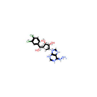 N/N=c1/nc[nH]c2c1ncn2[C@@H]1C[C@H]([C@H](O)c2ccc(Cl)c(Cl)c2)[C@@H](O)[C@H]1O